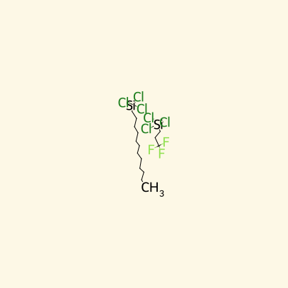 CCCCCCCCCCCC[Si](Cl)(Cl)Cl.FC(F)(F)CC[Si](Cl)(Cl)Cl